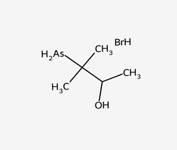 Br.CC(O)C(C)(C)[AsH2]